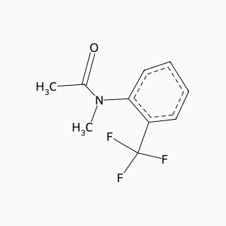 CC(=O)N(C)c1ccccc1C(F)(F)F